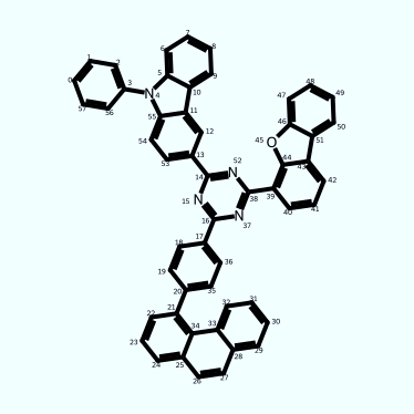 c1ccc(-n2c3ccccc3c3cc(-c4nc(-c5ccc(-c6cccc7ccc8ccccc8c67)cc5)nc(-c5cccc6c5oc5ccccc56)n4)ccc32)cc1